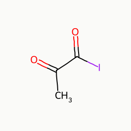 CC(=O)C(=O)I